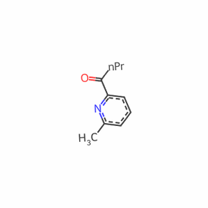 CCCC(=O)c1cccc(C)n1